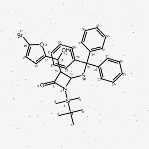 CC(C)(C)[Si](C)(C)N1C(=O)C(C(O)c2ccc(Br)o2)C1SC(c1ccccc1)(c1ccccc1)c1ccccc1